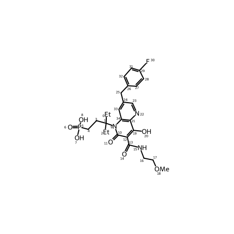 CCC(CC)(CCP(=O)(O)O)n1c(=O)c(C(=O)NCCOC)c(O)c2ncc(Cc3ccc(F)cc3)cc21